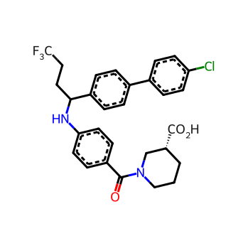 O=C(O)[C@@H]1CCCN(C(=O)c2ccc(NC(CCC(F)(F)F)c3ccc(-c4ccc(Cl)cc4)cc3)cc2)C1